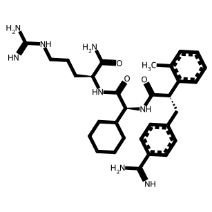 Cc1ccccc1[C@H](Cc1ccc(C(=N)N)cc1)C(=O)N[C@H](C(=O)N[C@@H](CCCNC(=N)N)C(N)=O)C1CCCCC1